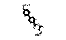 CCCCCCCCOc1ccc(-c2ccc(C(=O)OC(C)COCCCC)cc2)cc1